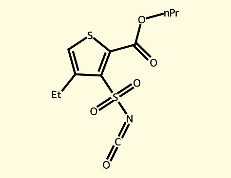 CCCOC(=O)c1scc(CC)c1S(=O)(=O)N=C=O